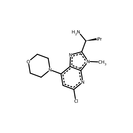 CC(C)[C@H](N)c1nc2c(N3CCOCC3)cc(Cl)nc2n1C